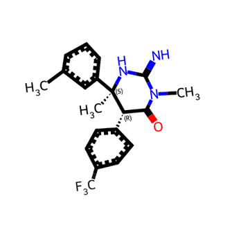 Cc1cccc([C@@]2(C)NC(=N)N(C)C(=O)[C@@H]2c2ccc(C(F)(F)F)cc2)c1